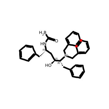 BC(=O)N[C@@H](Cc1ccccc1)C[C@H](O)[C@@H](Cc1ccccc1)N(Cc1ccccc1)Cc1ccccc1